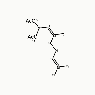 CC(=O)OC(C=C(C)CCC=C(C)C)OC(C)=O